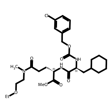 CCOCCN(C)C(=O)CC[C@H](NC(=O)[C@H](CC1CCCCC1)NC(=O)OCc1cccc(Cl)c1)C(=O)OC